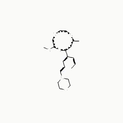 C\C=C/C(=C\C=C\N1CCOCC1)c1cc(C)nccncc(NC)n1